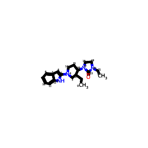 CCC1CN(c2cc3ccccc3[nH]2)CCC1N1CCN(CC)C1=O